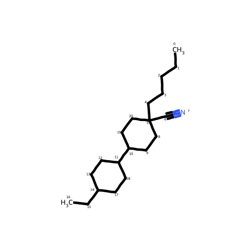 CCCCCC1(C#N)CCC(C2CCC(CC)CC2)CC1